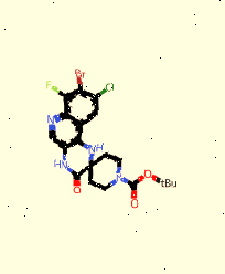 CC(C)(C)OC(=O)N1CCC2(CC1)Nc1c(cnc3c(F)c(Br)c(Cl)cc13)NC2=O